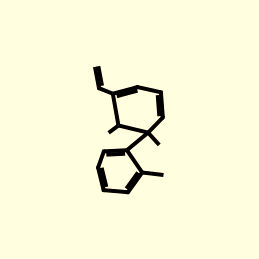 C=CC1=CC=CC(C)(c2ccccc2C)C1C